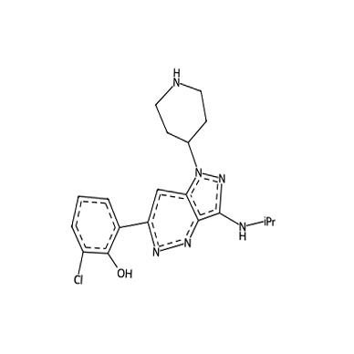 CC(C)Nc1nn(C2CCNCC2)c2cc(-c3cccc(Cl)c3O)nnc12